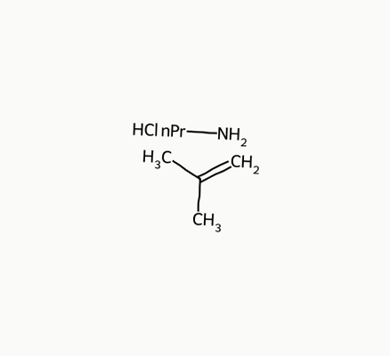 C=C(C)C.CCCN.Cl